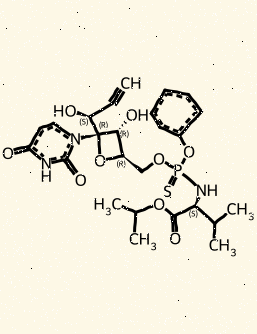 C#C[C@H](O)[C@@]1(n2ccc(=O)[nH]c2=O)O[C@H](COP(=S)(N[C@H](C(=O)OC(C)C)C(C)C)Oc2ccccc2)[C@H]1O